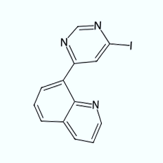 Ic1cc(-c2cccc3cccnc23)ncn1